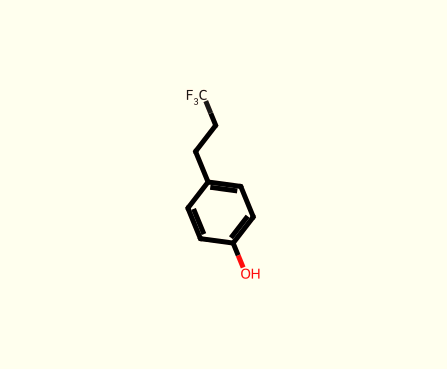 Oc1ccc(CCC(F)(F)F)cc1